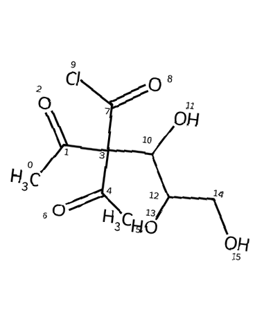 CC(=O)C(C(C)=O)(C(=O)Cl)C(O)C(O)CO